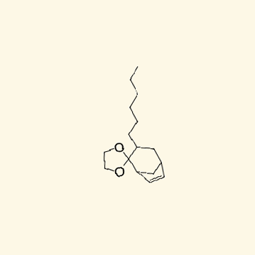 CCCCCCC1CC2C=CC(C2)C12OCCO2